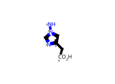 [NH]n1cnc(CC(=O)O)c1